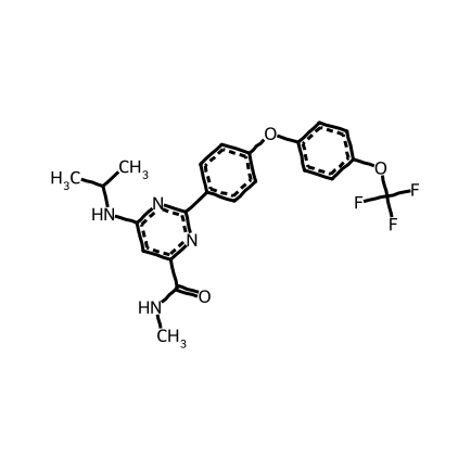 CNC(=O)c1cc(NC(C)C)nc(-c2ccc(Oc3ccc(OC(F)(F)F)cc3)cc2)n1